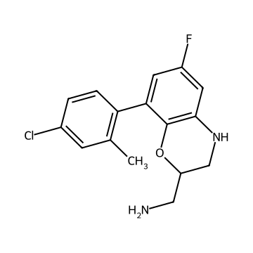 Cc1cc(Cl)ccc1-c1cc(F)cc2c1OC(CN)CN2